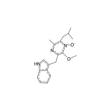 COc1c(Cc2c[nH]c3ccccc23)nc(C)c(CC(C)C)[n+]1[O-]